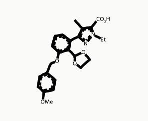 CCn1nc(-c2cccc(OCc3ccc(OC)cc3)c2C2OCCO2)c(C)c1C(=O)O